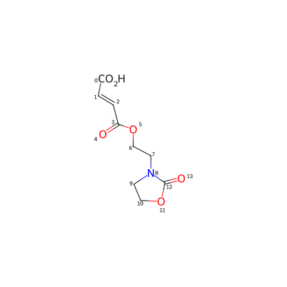 O=C(O)C=CC(=O)OCCN1CCOC1=O